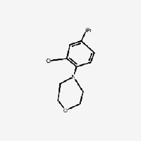 CC(C)c1ccc(N2CCOCC2)c(Cl)c1